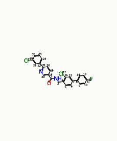 O=C(NCc1ccc(-c2ccc(F)cc2)cc1Cl)c1ccc(-c2cccc(Cl)c2)nc1